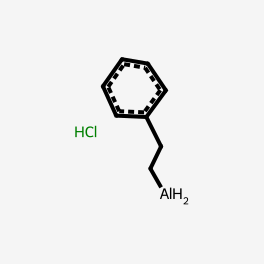 Cl.[AlH2][CH2]Cc1ccccc1